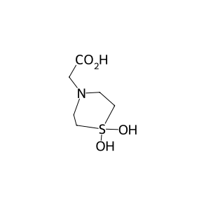 O=C(O)CN1CCS(O)(O)CC1